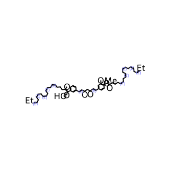 CC/C=C\C/C=C\C/C=C\C/C=C\C/C=C\CCCC(=O)Oc1ccc(/C=C/C(=O)CC(=O)/C=C/c2ccc3oc(CCC/C=C\C/C=C\C/C=C\C/C=C\C/C=C\CC)c(OO)c3c2)cc1OC